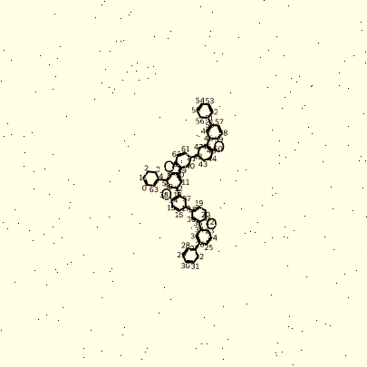 C1=CCCC(C2=c3oc4c(c3=CC3C5=C(C=CC(C6=CCC7OC8C=CC(C9C=CC=CC9)=CC8C7=C6)C5)OC23)CC(C2CCC3=C(C2)C2C=C(C5C=CC=CC5)C=CC2O3)C=C4)=C1